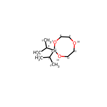 CC(C)[Si]1(C(C)C)OCCOCCO1